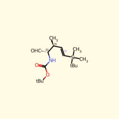 C[C@@H](/C=C/[Si](C)(C)C(C)(C)C)[C@@H](C=O)NC(=O)OC(C)(C)C